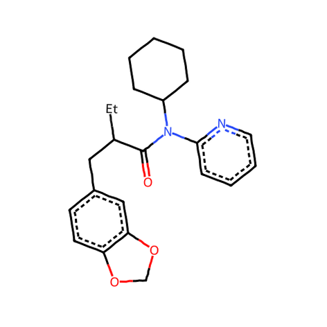 CCC(Cc1ccc2c(c1)OCO2)C(=O)N(c1ccccn1)C1CCCCC1